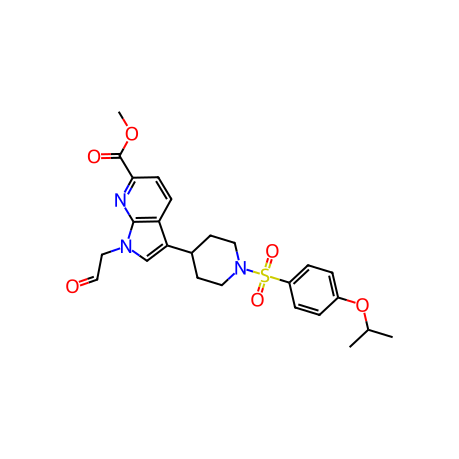 COC(=O)c1ccc2c(C3CCN(S(=O)(=O)c4ccc(OC(C)C)cc4)CC3)cn(CC=O)c2n1